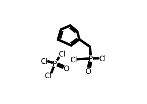 O=P(Cl)(Cl)Cc1ccccc1.O=P(Cl)(Cl)Cl